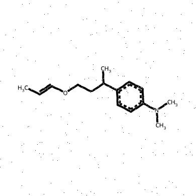 CC=COCCC(C)c1ccc(N(C)C)cc1